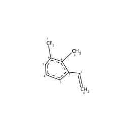 C=Cc1cccc(C(F)(F)F)c1C